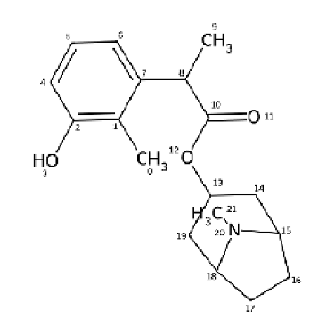 Cc1c(O)cccc1C(C)C(=O)OC1CC2CCC(C1)N2C